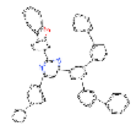 c1ccc(-c2ccc(-c3cc(-c4cc(-c5cccc(-c6ccccc6)c5)cc(-c5cccc(-c6ccccc6)c5)c4)nc(-c4ccc5c(c4)oc4ccccc45)n3)cc2)cc1